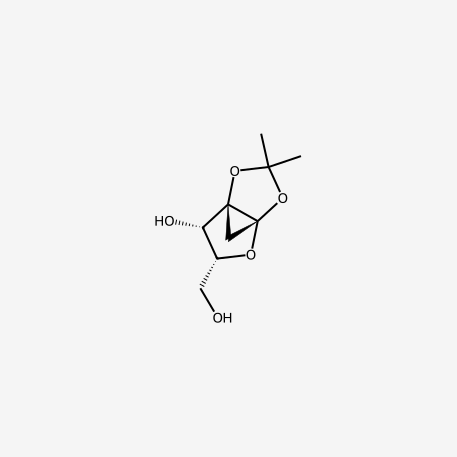 CC1(C)O[C@@]23C[C@]2(O1)[C@@H](O)[C@@H](CO)O3